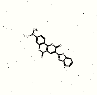 CN(C)c1ccc2c(c1)oc(=O)c1cc(-c3nc4ccccc4s3)c(=O)oc12